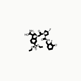 CCOP(=O)(OCC)c1ccc2c(C(N)O)cn(CC(=O)N3C[C@H](F)C[C@H]3C(=O)NCc3cccc(Cl)c3F)c2c1